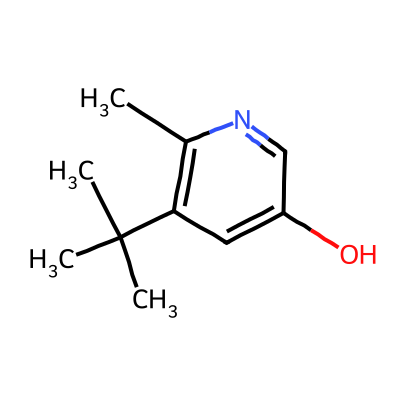 Cc1ncc(O)cc1C(C)(C)C